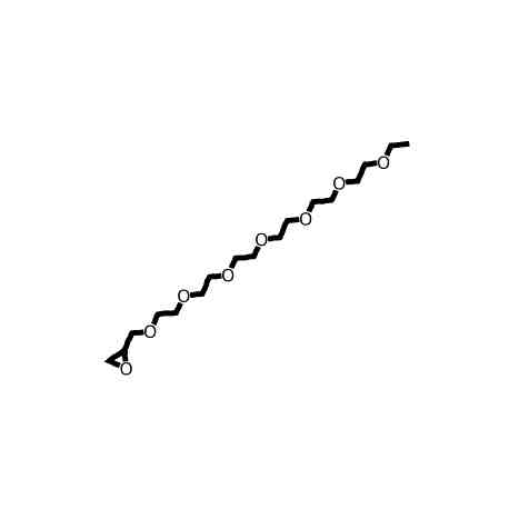 CCOCCOCCOCCOCCOCCOCCOCC1CO1